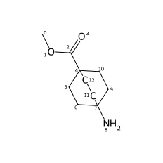 COC(=O)C12CCC(N)(CC1)CC2